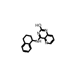 Oc1nc(NC2CCCc3ccccc32)c2ncccc2n1